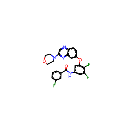 O=C(Nc1cc(F)c(F)c(Oc2ccc3ncc(N4CCOCC4)nc3c2)c1)c1cccc(F)c1